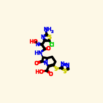 Nc1nc(C(=NO)C(=O)N[C@H]2C(=O)N3C(C(=O)O)=C(Sc4nncs4)CCC23)c(Cl)s1